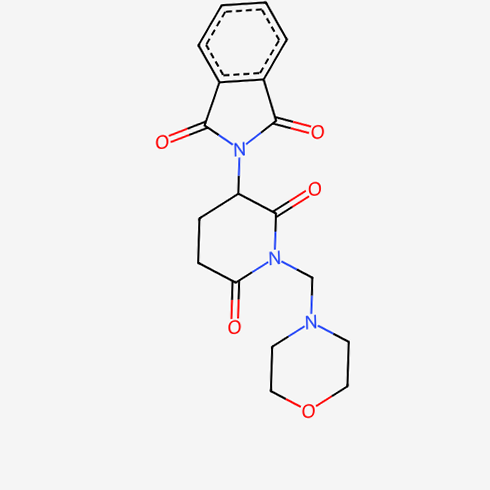 O=C1CCC(N2C(=O)c3ccccc3C2=O)C(=O)N1CN1CCOCC1